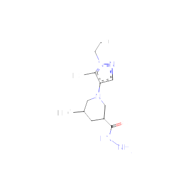 Cc1c(N2CC(C)CC(C(=O)NN)C2)cnn1CC(C)C